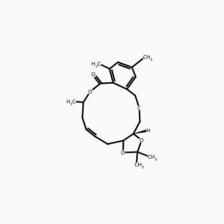 Cc1cc(C)c2c(c1)CCC[C@@H]1OC(C)(C)OC1C/C=C\CC(C)OC2=O